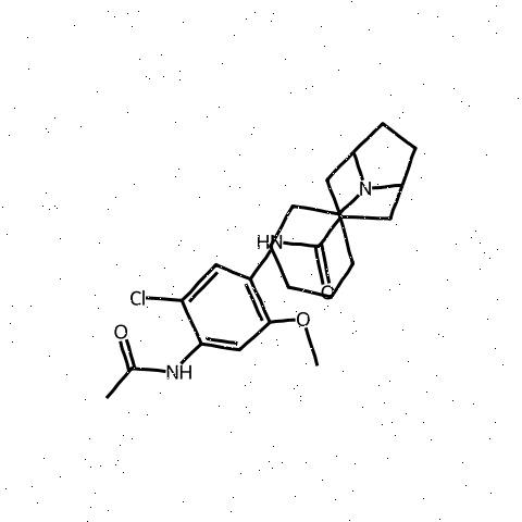 COc1cc(NC(C)=O)c(Cl)cc1NC(=O)C1CC2CCC(C1)N2C1CCCCC1